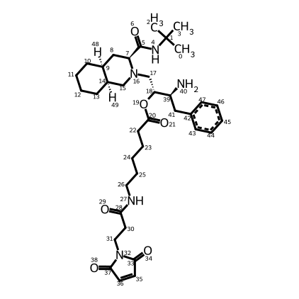 CC(C)(C)NC(=O)[C@@H]1C[C@@H]2CCCC[C@@H]2CN1C[C@@H](OC(=O)CCCCCNC(=O)CCN1C(=O)C=CC1=O)[C@@H](N)Cc1ccccc1